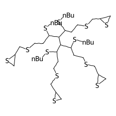 CCCCSC(CCSCC1CS1)C(C(CCSCC1CS1)SCCCC)C(C(CCSCC1CS1)SCCCC)C(CCSCC1CS1)SCCCC